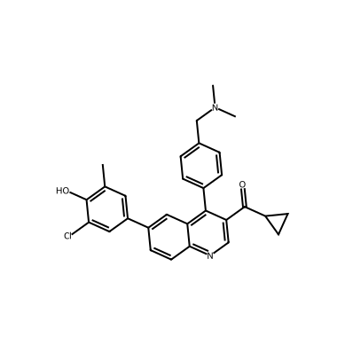 Cc1cc(-c2ccc3ncc(C(=O)C4CC4)c(-c4ccc(CN(C)C)cc4)c3c2)cc(Cl)c1O